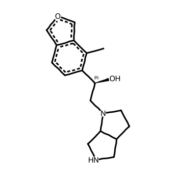 Cc1c([C@@H](O)CN2CCC3CNCC32)ccc2cocc12